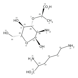 C[C@@H](O[C@@H]1[C@@H](N)[C@@H](O)O[C@H](CO)[C@H]1O)C(=O)O.NCCCCC(N)C(=O)O